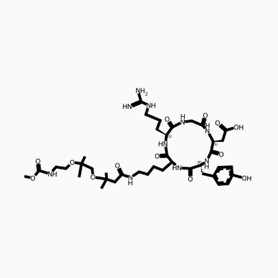 COC(=O)NCCOC(C)(C)COC(C)(C)CC(=O)NCCCCC1NC(=O)[C@@H](Cc2ccc(O)cc2)NC(=O)[C@H](CC(=O)O)NC(=O)CNC(=O)[C@H](CCCNC(=N)N)NC1=O